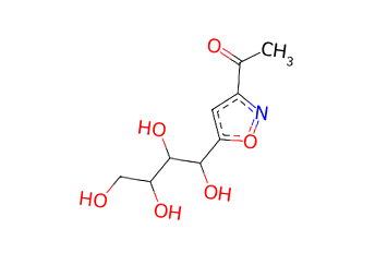 CC(=O)c1cc(C(O)C(O)C(O)CO)on1